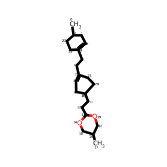 CC1CC=C(CCC2=CCC(CCC3OCC(C)CO3)CC2)CC1